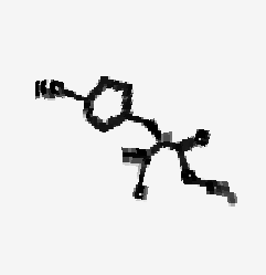 COC(=O)[C@H](Cc1ccc(C)cc1)NCl